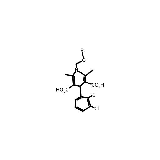 CCOCN1C(C)=C(C(=O)O)C(c2cccc(Cl)c2Cl)C(C(=O)O)=C1C